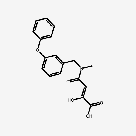 CN(Cc1cccc(Oc2ccccc2)c1)C(=O)C=C(O)C(=O)O